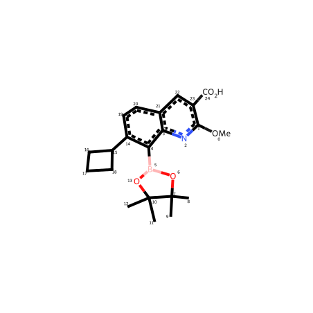 COc1nc2c(B3OC(C)(C)C(C)(C)O3)c(C3CCC3)ccc2cc1C(=O)O